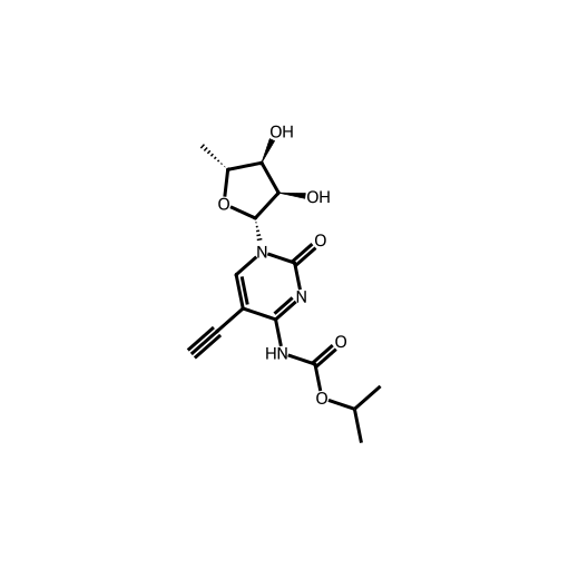 C#Cc1cn([C@@H]2O[C@H](C)[C@@H](O)[C@H]2O)c(=O)nc1NC(=O)OC(C)C